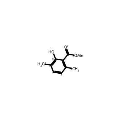 COC(=O)c1c(C)ccc(C)c1O